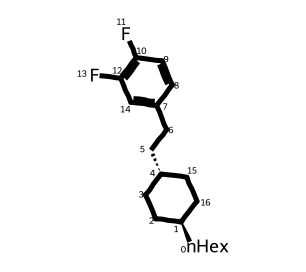 CCCCCC[C@H]1CC[C@H](CCc2ccc(F)c(F)c2)CC1